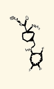 CC(C)(C)OC(=O)C1(N)CCC(CNc2cc(F)c(F)cc2F)C1